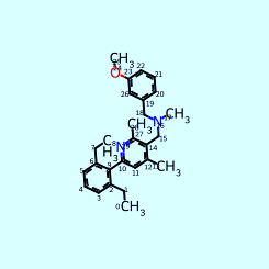 CCc1cccc(CC)c1-c1cc(C)c(CN(C)Cc2cccc(OC)c2)c(C)n1